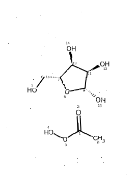 CC(=O)OO.OC[C@H]1O[C@@H](O)[C@H](O)[C@@H]1O